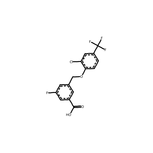 O=C(O)c1cc(F)cc(COc2ccc(C(F)(F)F)cc2Cl)c1